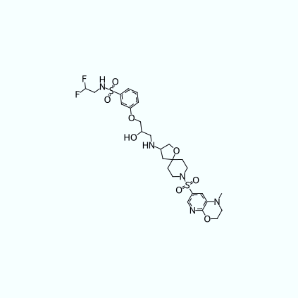 CN1CCOc2ncc(S(=O)(=O)N3CCC4(CC3)CC(NCC(O)COc3cccc(S(=O)(=O)NCC(F)F)c3)CO4)cc21